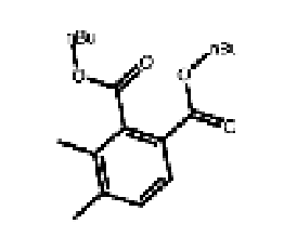 CCCCOC(=O)c1ccc(C)c(C)c1C(=O)OCCCC